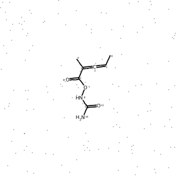 CC=C=C(C)C(=O)ONC(N)=O